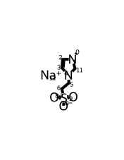 CN1C=CN(CCS(=O)(=O)[O-])C1.[Na+]